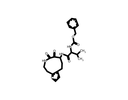 CC(C)C(NC(=O)OCc1ccccc1)C(=O)NC1CCc2ccsc2CCNC(=O)C1=O